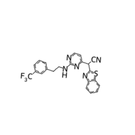 N#CC(c1ccnc(NCCc2cccc(C(F)(F)F)c2)n1)c1nc2ccccc2s1